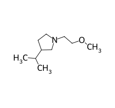 COCCN1CCC(C(C)C)C1